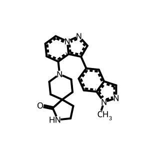 Cn1ncc2cc(-c3cnn4cccc(N5CCC6(CCNC6=O)CC5)c34)ccc21